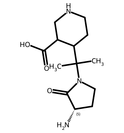 CC(C)(C1CCNCC1C(=O)O)N1CC[C@H](N)C1=O